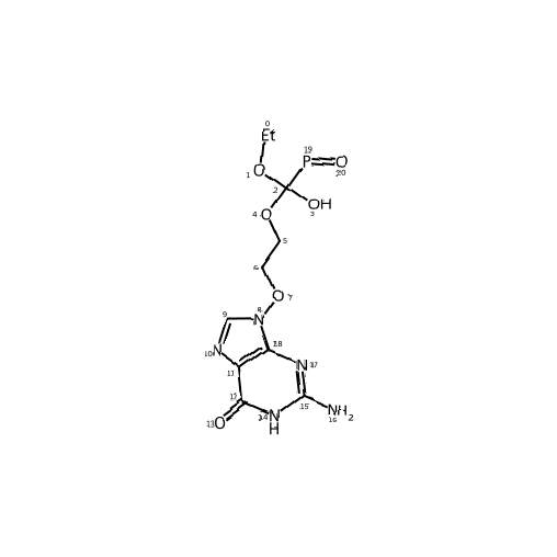 CCOC(O)(OCCOn1cnc2c(=O)[nH]c(N)nc21)P=O